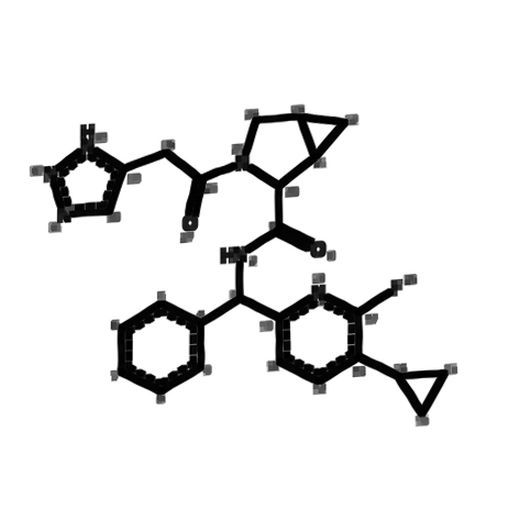 O=C(NC(c1ccccc1)c1ccc(C2CC2)c(F)n1)C1C2CC2CN1C(=O)Cc1cnn[nH]1